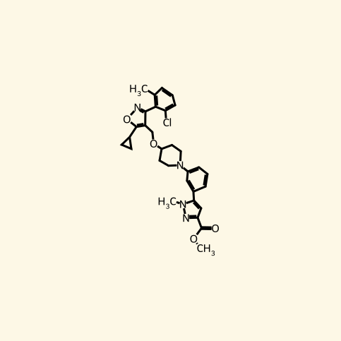 COC(=O)c1cc(-c2cccc(N3CCC(OCc4c(-c5c(C)cccc5Cl)noc4C4CC4)CC3)c2)n(C)n1